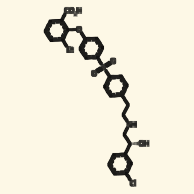 CCc1cccc(C(=O)O)c1Oc1ccc(S(=O)(=O)c2ccc(CCNC[C@H](O)c3cccc(Cl)c3)cc2)cc1